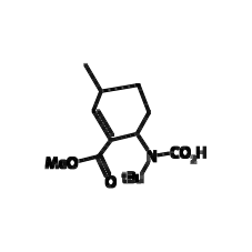 COC(=O)C1=CC(C)CCC1N(C(=O)O)C(C)(C)C